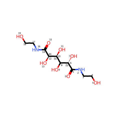 O=C(NCCO)[C@@H](O)C(O)[C@H](O)[C@@H](O)C(=O)NCCO